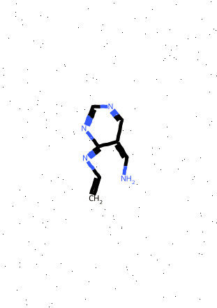 C=C/N=C1/N=CN=C/C1=C/N